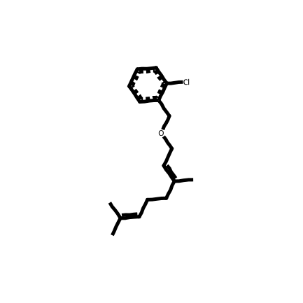 CC(C)=CCC/C(C)=C/COCc1ccccc1Cl